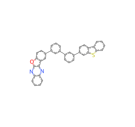 c1cc(-c2cccc(-c3ccc4oc5nc6ccccc6nc5c4c3)c2)cc(-c2ccc3c(c2)sc2ccccc23)c1